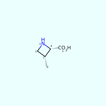 C[C@@H]1CN[C@@H]1C(=O)O